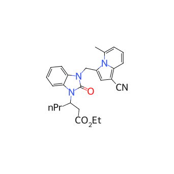 CCCC(CC(=O)OCC)n1c(=O)n(Cc2cc(C#N)c3cccc(C)n23)c2ccccc21